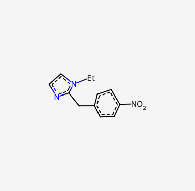 CCn1ccnc1Cc1ccc([N+](=O)[O-])cc1